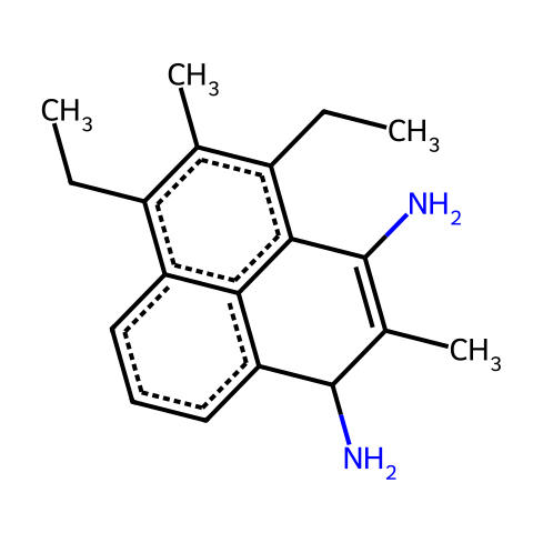 CCc1c(C)c(CC)c2cccc3c2c1C(N)=C(C)C3N